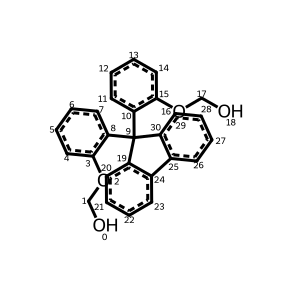 OCOc1ccccc1C1(c2ccccc2OCO)c2ccccc2-c2ccccc21